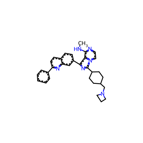 CNc1nccn2c(C3CCC(CN4CCC4)CC3)nc(-c3ccc4ccc(-c5ccccc5)nc4c3)c12